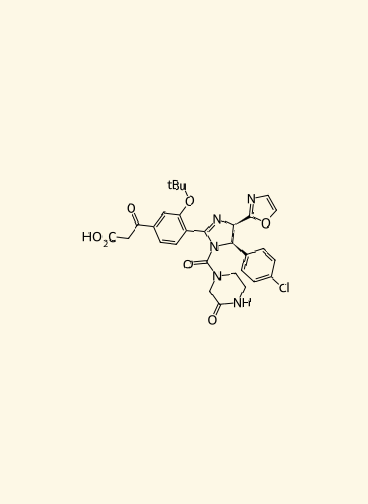 CC(C)(C)Oc1cc(C(=O)CC(=O)O)ccc1C1=N[C@@H](c2ncco2)[C@@H](c2ccc(Cl)cc2)N1C(=O)N1CCNC(=O)C1